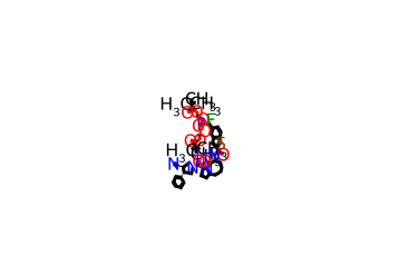 CC(C)(C)C(=O)OCOP(=O)(OCOC(=O)C(C)(C)C)[C@H](F)c1ccc2sc(C(=O)N[C@H]3CCCCC4CC[C@@H](C(=O)N5C[C@H](c6ccccc6)[C@@H](C#N)C5)N4C3=O)cc2c1